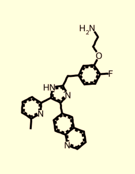 Cc1cccc(-c2[nH]c(Cc3ccc(F)c(OCCN)c3)nc2-c2ccc3ncccc3c2)n1